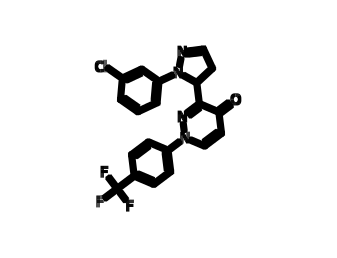 O=c1ccn(-c2ccc(C(F)(F)F)cc2)nc1C1CC=NN1c1cccc(Cl)c1